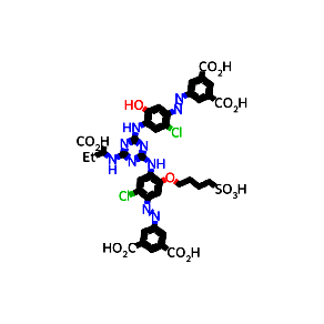 CCC(Nc1nc(Nc2cc(Cl)c(N=Nc3cc(C(=O)O)cc(C(=O)O)c3)cc2O)nc(Nc2cc(Cl)c(N=Nc3cc(C(=O)O)cc(C(=O)O)c3)cc2OCCCCS(=O)(=O)O)n1)C(=O)O